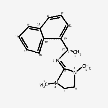 C[C@H](N=C1N(C)CCN1C)c1cccc2ccccc12